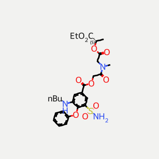 CCCCNc1cc(C(=O)OCC(=O)N(C)CC(=O)O[C@@H](C)C(=O)OCC)cc(S(N)(=O)=O)c1Oc1ccccc1